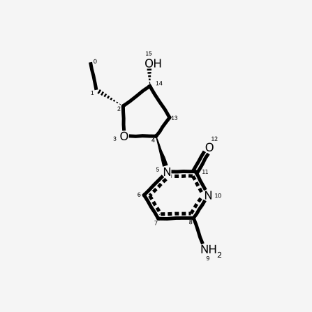 CC[C@H]1O[C@H](n2ccc(N)nc2=O)C[C@H]1O